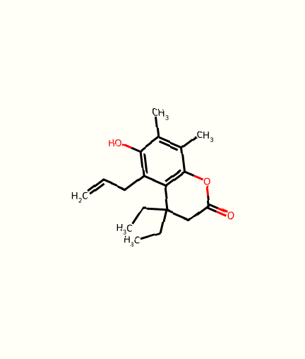 C=CCc1c(O)c(C)c(C)c2c1C(CC)(CC)CC(=O)O2